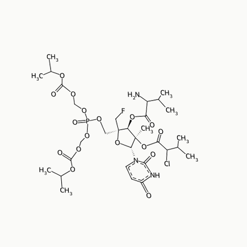 CC(C)OC(=O)OCOP(=O)(OCOC(=O)OC(C)C)OC[C@@]1(CF)O[C@@H](n2ccc(=O)[nH]c2=O)[C@](C)(OC(=O)C(Cl)C(C)C)[C@@H]1OC(=O)C(N)C(C)C